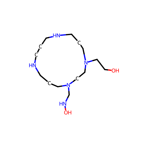 OCCN1CCCNCCCNCCCN(CNO)CC1